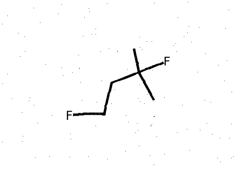 CC(C)(F)CCF